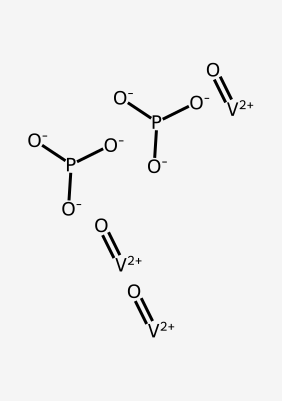 [O-]P([O-])[O-].[O-]P([O-])[O-].[O]=[V+2].[O]=[V+2].[O]=[V+2]